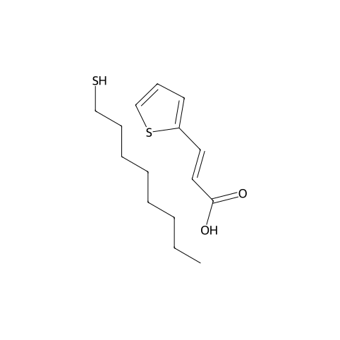 CCCCCCCCS.O=C(O)C=Cc1cccs1